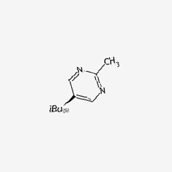 CC[C@H](C)c1cnc(C)nc1